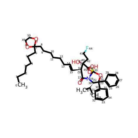 CCCCCCCC1(CCCCCCC=C[C@H](C(=O)N2C(=S)OC(c3ccccc3)(c3ccccc3)[C@@H]2C(C)C)[C@@](O)(CCF)C(=O)O)OCCO1